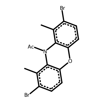 CC(=O)N1c2c(ccc(Br)c2C)Oc2ccc(Br)c(C)c21